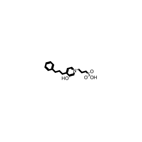 O=S(=O)(O)CCC[n+]1ccc(CCCc2ccccc2)cc1.[OH-]